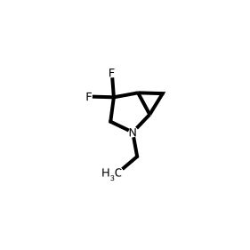 CCN1CC(F)(F)C2CC21